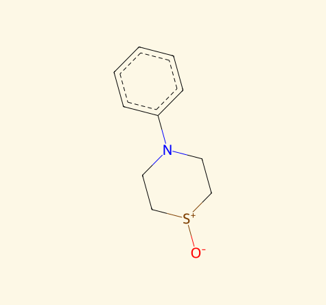 [O-][S+]1CCN(c2ccccc2)CC1